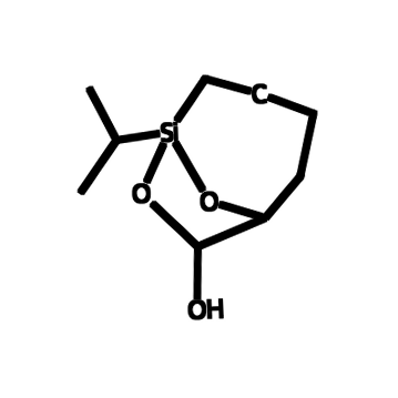 CC(C)[Si]12CCCCC(O1)C(O)O2